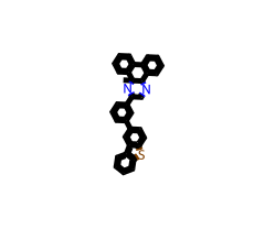 CC12N=C(c3cccc(-c4ccc5sc6ccccc6c5c4)c3)C=NC1c1ccccc1-c1ccccc12